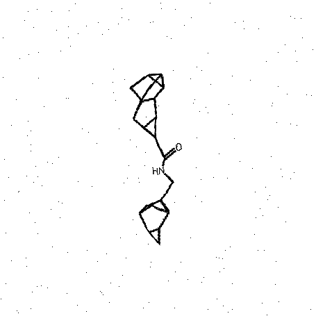 O=C(NCC1CC2CC1C1CC21)C1C2C3C4CC5C3C5C4C12